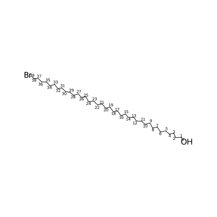 OCCCCCCCCCCCCCCCCCCCCCCCCCCCCCCCCCCCCCCBr